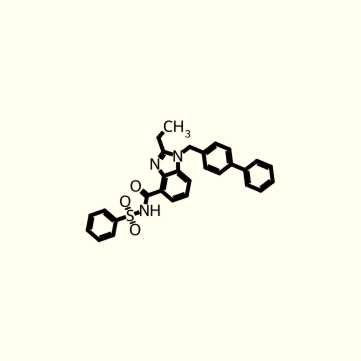 CCc1nc2c(C(=O)NS(=O)(=O)c3ccccc3)cccc2n1Cc1ccc(-c2ccccc2)cc1